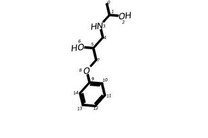 CC(O)NCC(O)COc1ccccc1